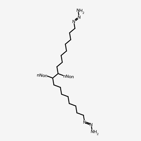 CCCCCCCCCC(CCCCCCCCN=NN)C(CCCCCCCCC)CCCCCCCCN=NN